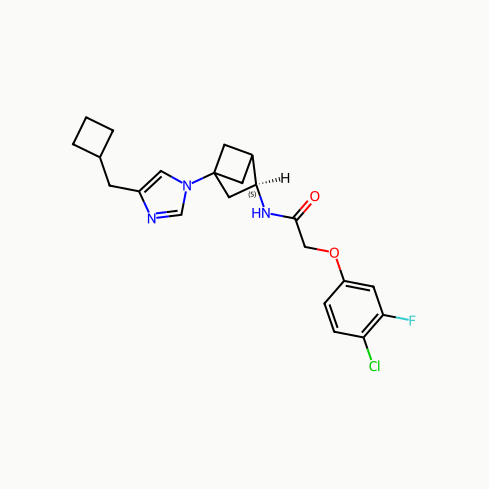 O=C(COc1ccc(Cl)c(F)c1)N[C@H]1CC2(n3cnc(CC4CCC4)c3)CC1C2